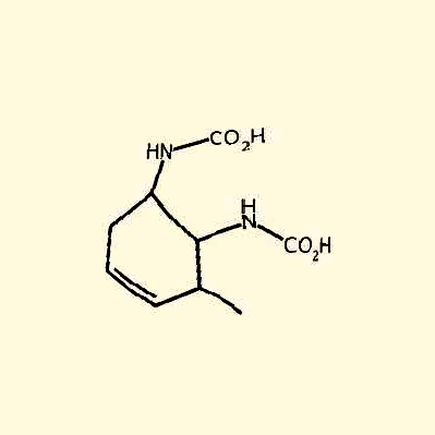 CC1C=CCC(NC(=O)O)C1NC(=O)O